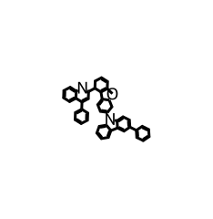 C1=CC2=C(C3=CC=C(n4c5ccccc5c5cc(-c6ccccc6)ccc54)CC3O2)C(c2cc(-c3ccccc3)c3ccccc3n2)C1